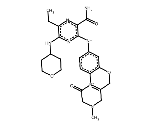 CCc1nc(C(N)=O)c(Nc2ccc3c(c2)OCC2=[N+]3C(=O)CN(C)C2)nc1NC1CCOCC1